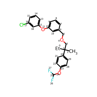 CCC(C)(COCc1cccc(Oc2cccc(Cl)c2)c1)c1ccc(OC(F)F)cc1